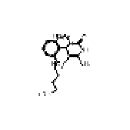 CCCCCCCCCCCCCCCc1cccc(OC)c1C1C(C(=O)O)=C(C)NC(=O)N1C(=O)O